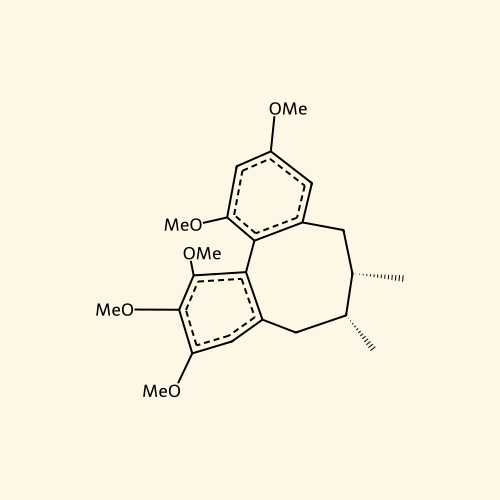 COc1cc2c(c(OC)c1)-c1c(cc(OC)c(OC)c1OC)C[C@@H](C)[C@@H](C)C2